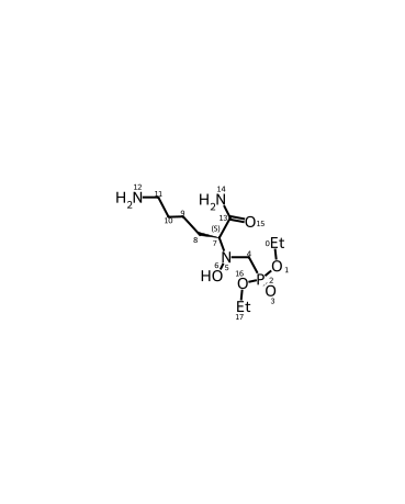 CCOP(=O)(CN(O)[C@@H](CCCCN)C(N)=O)OCC